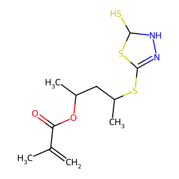 C=C(C)C(=O)OC(C)CC(C)SC1=NNC(S)S1